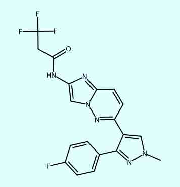 Cn1cc(-c2ccc3nc(NC(=O)CC(F)(F)F)cn3n2)c(-c2ccc(F)cc2)n1